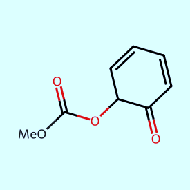 COC(=O)OC1C=CC=CC1=O